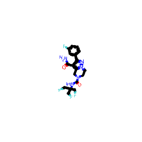 NC(=O)c1c(-c2cccc(F)c2)nn2c1CN(C(=O)NC(CF)(CF)CF)CC2